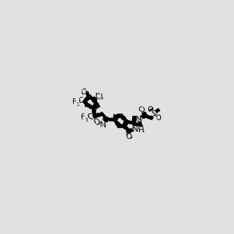 CS(=O)(=O)CC(=O)N1CC2(C1)NC(=O)c1cc(C3=NOC(c4cc(Cl)c(Cl)c(C(F)(F)F)c4)(C(F)(F)F)C3)ccc12